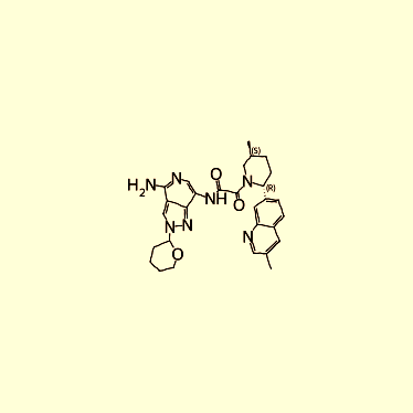 Cc1cnc2cc([C@H]3CC[C@H](C)CN3C(=O)C(=O)Nc3cnc(N)c4cn(C5CCCCO5)nc34)ccc2c1